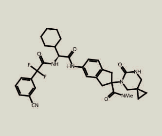 CNC(=O)C1(N2CC3(CC3)CNC2=O)Cc2ccc(NC(=O)[C@@H](NC(=O)C(F)(F)c3cccc(C#N)c3)C3CCCCC3)cc2C1